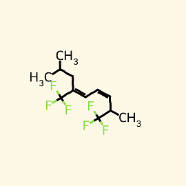 CC(C)C/C(=C\C=C/C(C)C(F)(F)F)C(F)(F)F